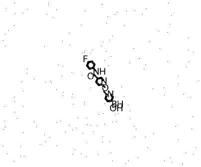 O=C(Nc1ccc(F)cc1)c1ccc(OCc2ccc(BO)cn2)nc1